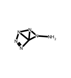 NN1N2N3N=NC132